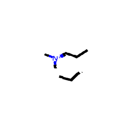 CCC=[N+](C)C.[CH2]CC